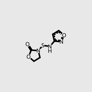 O=C1OCCN1SNc1ccon1